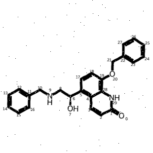 O=c1ccc2c([C@@H](O)CNCc3ccccc3)ccc(OCc3ccccc3)c2[nH]1